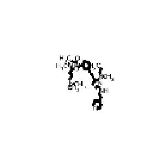 CCCN(C)c1nc(NCCc2ccncc2)ncc1C#Cc1cccc(NC(=O)C(C)N(C)C(=O)C=CCN(C)C)c1